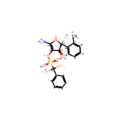 BC(B)(c1ccccc1)S(=O)(=O)OC1=C(N)O[C@](B)(c2ccccc2C)C1=O